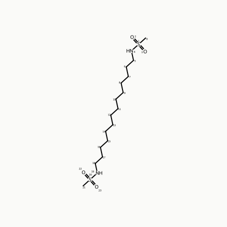 CS(=O)(=O)NCCCCCCCCCCCCCCNS(C)(=O)=O